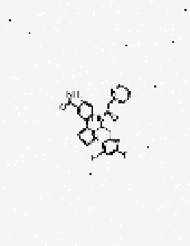 NC(=O)c1cccc(-c2cccnc2C(Cc2cc(F)cc(F)c2)NC(=O)Cc2ccccn2)c1